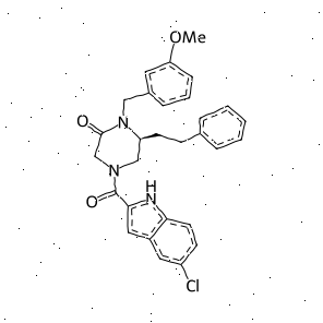 COc1cccc(CN2C(=O)CN(C(=O)c3cc4cc(Cl)ccc4[nH]3)C[C@@H]2CCc2ccccc2)c1